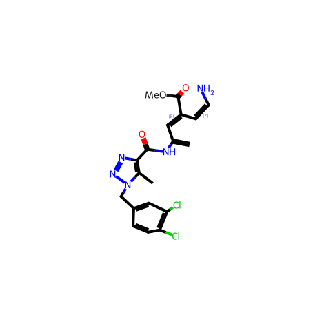 C=C(/C=C(\C=C/N)C(=O)OC)NC(=O)c1nnn(Cc2ccc(Cl)c(Cl)c2)c1C